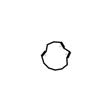 [CH]1/C=C/CCCCC/C=C/C=C/C1